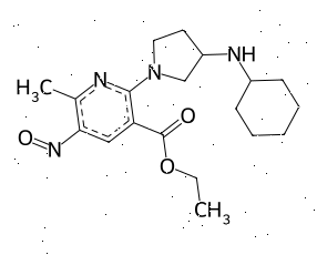 CCOC(=O)c1cc(N=O)c(C)nc1N1CCC(NC2CCCCC2)C1